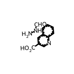 NNC=O.O=C(O)c1cnc2ccccc2c1